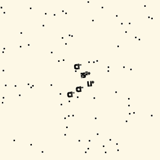 [Cl-].[Cl-].[Cl-].[Li+].[S+2]